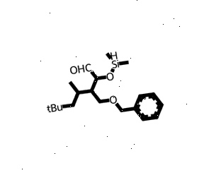 CC(CC(C)(C)C)C(COCc1ccccc1)C(C=O)O[SiH](C)C